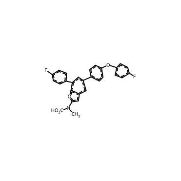 CN(C(=O)O)c1cc2cc(-c3ccc(Oc4ccc(F)cc4)cc3)cc(-c3ccc(F)cc3)c2o1